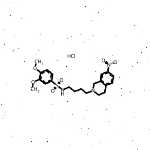 COc1ccc(S(=O)(=O)NCCCCN2CCc3ccc([N+](=O)[O-])cc3C2)cc1OC.Cl